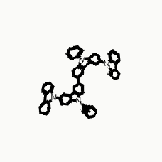 c1ccc(-n2c3ccc(-c4ccc5c(c4)c4cc(-n6c7ccccc7c7ccccc76)ccc4n5-c4ccccc4)cc3c3cc(-n4c5ccccc5c5ccccc54)ccc32)cc1